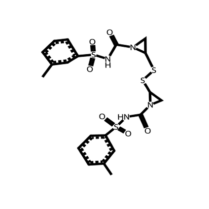 Cc1cccc(S(=O)(=O)NC(=O)N2CC2SSC2CN2C(=O)NS(=O)(=O)c2cccc(C)c2)c1